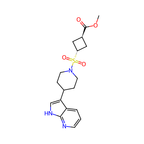 COC(=O)[C@H]1C[C@H](S(=O)(=O)N2CCC(c3c[nH]c4ncccc34)CC2)C1